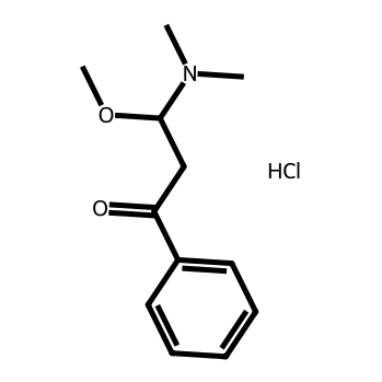 COC(CC(=O)c1ccccc1)N(C)C.Cl